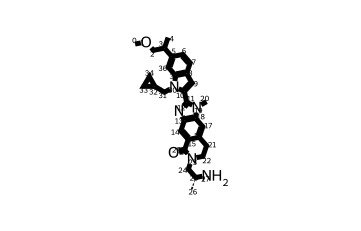 COCC(C)c1ccc2cc(-c3nc4cc5c(cc4n3C)CCN(C[C@@H](C)N)C5=O)n(CC3CC3)c2c1